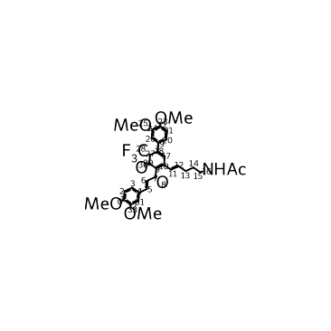 COc1ccc(/C=C/C(=O)C2=C(/C=C/CCCNC(C)=O)C=C(c3ccc(OC)c(OC)c3)C(C(F)(F)F)C2=O)cc1OC